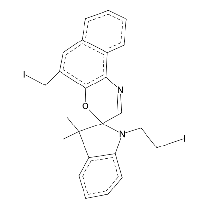 CC1(C)c2ccccc2N(CCI)C12C=Nc1c(c(CI)cc3ccccc13)O2